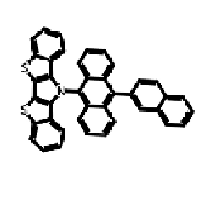 c1ccc2cc(-c3c4ccccc4c(-n4c5c6ccccc6sc5c5sc6ccccc6c54)c4ccccc34)ccc2c1